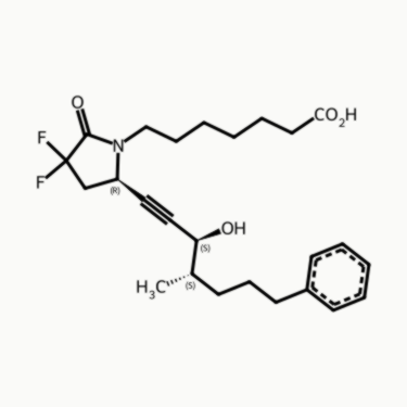 C[C@@H](CCCc1ccccc1)[C@H](O)C#C[C@H]1CC(F)(F)C(=O)N1CCCCCCC(=O)O